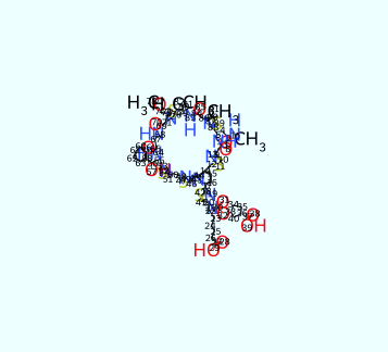 CNC(=O)C[C@@H]1NC(=O)c2csc(n2)-c2ccc(-c3nc(N(CCCCCC(=O)O)C(=O)O[C@H]4CC[C@H](C(=O)O)C4)cs3)nc2-c2csc(n2)-c2csc(n2)[C@H]([C@@H](O)c2ccccc2)NC(=O)CNC(=O)c2nc(sc2COC)C(C(C)C)NC(=O)c2nc1sc2C